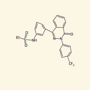 CCS(=O)(=O)Nc1cccc(-c2nn(-c3ccc(C(F)(F)F)cc3)c(=O)c3ccccc23)c1